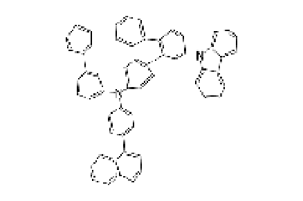 c1ccc(-c2cccc(N(c3ccc(-c4cc(-n5c6ccccc6c6ccccc65)ccc4-c4ccccc4)cc3)c3ccc(-c4cccc5ccccc45)cc3)c2)cc1